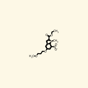 CCOC(=O)c1cc2cc(OCCCOC)cc([N+](=O)[O-])c2n1C